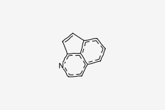 C1=Cc2nccc3cccc1c23